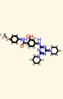 O=C(Nc1ccc(SC(F)(F)F)cc1)c1ccc(Nc2nc(N3CCCCC3)nc(N3CCCCC3)n2)cc1O